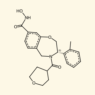 Cc1ccccc1[C@H]1COc2cc(C(=O)NO)ccc2CN1C(=O)C1CCOCC1